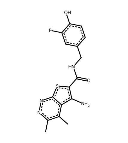 Cc1nnc2sc(C(=O)NCc3ccc(O)c(F)c3)c(N)c2c1C